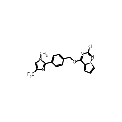 Cn1cc(C(F)(F)F)nc1-c1ccc(COc2nc(Cl)nn3cccc23)cc1